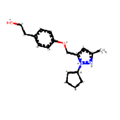 Cc1cc(COc2ccc(CCO)cc2)n(C2CCCC2)n1